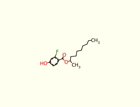 CCCCCCCCC(C)OC(=O)c1ccc(O)cc1F